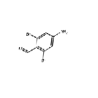 Nc1cc(Br)c(C=O)c(Br)c1